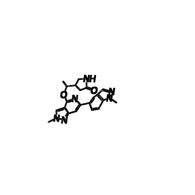 CC(Oc1nc(-c2ccc3c(cnn3C)c2)cc2nn(C)cc12)C1CNC(=O)C1